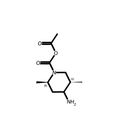 CC(=O)OC(=O)N1C[C@H](C)C(N)C[C@H]1C